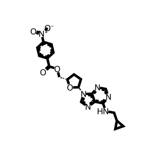 O=C(OC[C@@H]1CC[C@H](n2cnc3c(NCC4CC4)ncnc32)O1)c1ccc([N+](=O)[O-])cc1